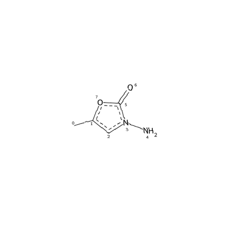 Cc1cn(N)c(=O)o1